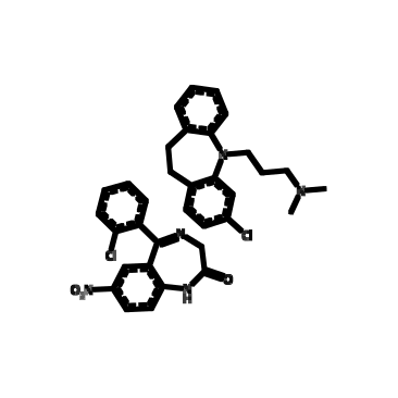 CN(C)CCCN1c2ccccc2CCc2ccc(Cl)cc21.O=C1CN=C(c2ccccc2Cl)c2cc([N+](=O)[O-])ccc2N1